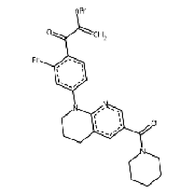 C=C(CCC)C(=O)c1ccc(N2CCCc3cc(C(=O)N4CCCCC4)cnc32)cc1CC